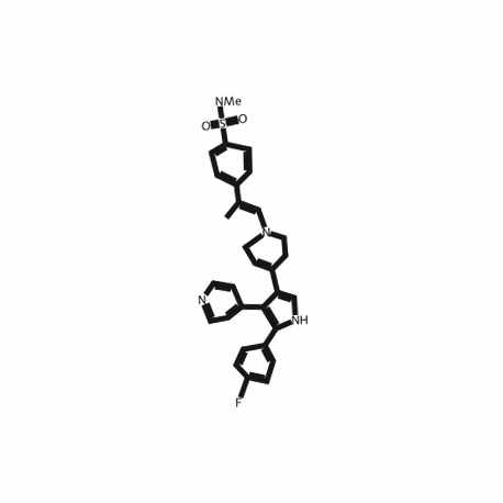 CNS(=O)(=O)c1ccc(C(C)=CN2CC=C(c3c[nH]c(-c4ccc(F)cc4)c3-c3ccncc3)CC2)cc1